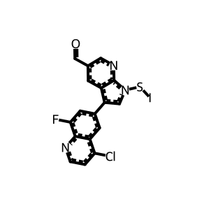 O=Cc1cnc2c(c1)c(-c1cc(F)c3nccc(Cl)c3c1)cn2SI